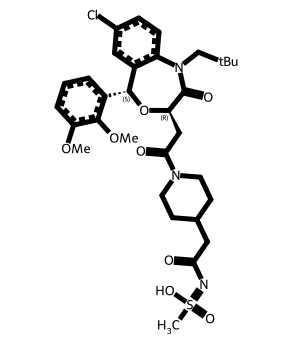 COc1cccc([C@H]2O[C@H](CC(=O)N3CCC(CC(=O)N=S(C)(=O)O)CC3)C(=O)N(CC(C)(C)C)c3ccc(Cl)cc32)c1OC